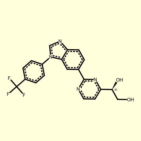 OC[C@H](O)c1ccnc(-c2ccc3ncn(-c4ccc(C(F)(F)F)cc4)c3c2)n1